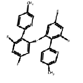 Cc1ccc(-c2c(F)cc(F)c[c]2[Ir+][c]2cc(F)cc(F)c2-c2ccc(C)cn2)nc1